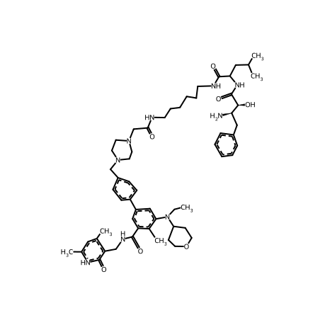 CCN(c1cc(-c2ccc(CN3CCN(CC(=O)NCCCCCCNC(=O)C(CC(C)C)NC(=O)[C@@H](O)[C@H](N)Cc4ccccc4)CC3)cc2)cc(C(=O)NCc2c(C)cc(C)[nH]c2=O)c1C)C1CCOCC1